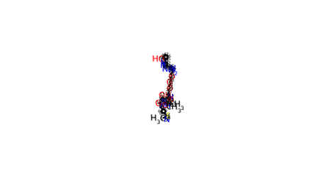 Cc1ncsc1-c1ccc(CNC(=O)[C@@H]2C[C@@H](O)CN2C(=O)[C@@H](c2cc(CCCOCCOCCOCCn3cc(-c4cc(-c5ccccc5O)nnc4N)cn3)no2)C(C)C)cc1